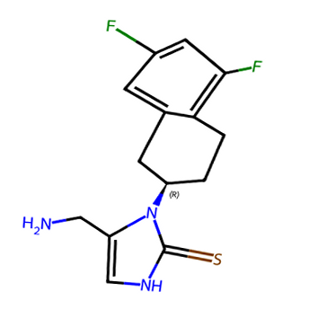 NCc1c[nH]c(=S)n1[C@@H]1CCc2c(F)cc(F)cc2C1